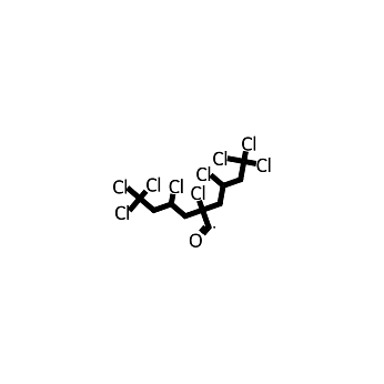 O=[C]C(Cl)(CC(Cl)CC(Cl)(Cl)Cl)CC(Cl)CC(Cl)(Cl)Cl